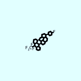 Fc1ccc(-c2ccc3ccc4c(-c5c6ccccc6c(C(F)(F)C(F)(F)F)c6ccccc56)ccc5ccc2c3c54)cc1